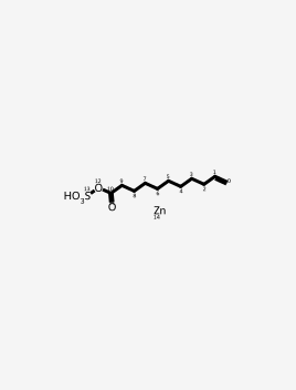 C=CCCCCCCCCC(=O)OS(=O)(=O)O.[Zn]